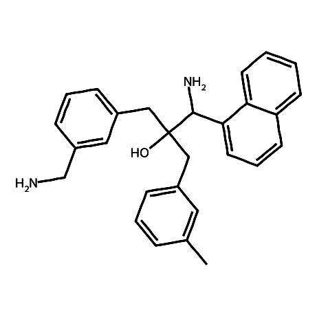 Cc1cccc(CC(O)(Cc2cccc(CN)c2)C(N)c2cccc3ccccc23)c1